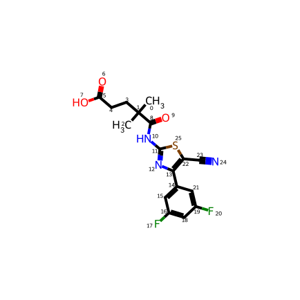 CC(C)(CCC(=O)O)C(=O)Nc1nc(-c2cc(F)cc(F)c2)c(C#N)s1